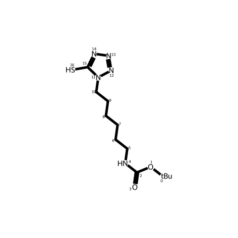 CC(C)(C)OC(=O)NCCCCCCn1nnnc1S